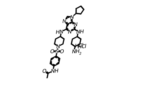 CC(=O)Nc1ccc(S(=O)(=O)N2CCC(Nc3nc(NC4CCC(N)CC4)nc4c3ncn4C3CCCC3)CC2)cc1.Cl.Cl